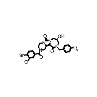 COc1ccc(CN2C[C@@H](O)Cn3c(c4n(c3=O)CCN(C(=O)c3ccc(Br)c(Cl)c3)C4)C2=O)cc1